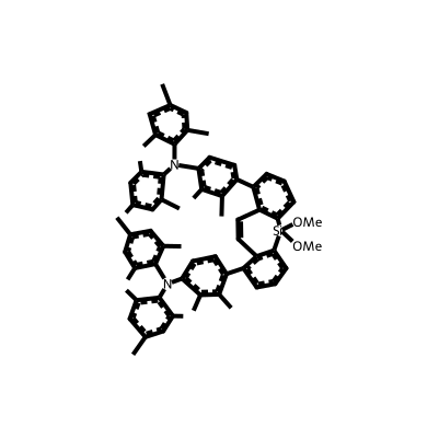 CO[Si]1(OC)c2cccc(-c3ccc(N(c4c(C)cc(C)cc4C)c4c(C)cc(C)cc4C)c(C)c3C)c2C=Cc2c(-c3ccc(N(c4c(C)cc(C)cc4C)c4c(C)cc(C)cc4C)c(C)c3C)cccc21